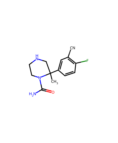 CC1(c2ccc(F)c(C#N)c2)CNCCN1C(N)=O